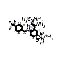 CNS(=O)(=O)c1ccc(NCc2ccc(C(F)(F)F)cc2)c(/C(N)=C/N(C)N)c1